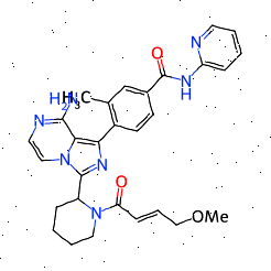 COC/C=C/C(=O)N1CCCCC1c1nc(-c2ccc(C(=O)Nc3ccccn3)cc2C)c2c(N)nccn12